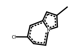 Cc1cc2cc(Cl)ccn2c1